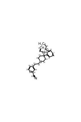 C=CNC1(c2ccccc2CCC)CCN(CCc2ccnc(C#N)c2)CC1